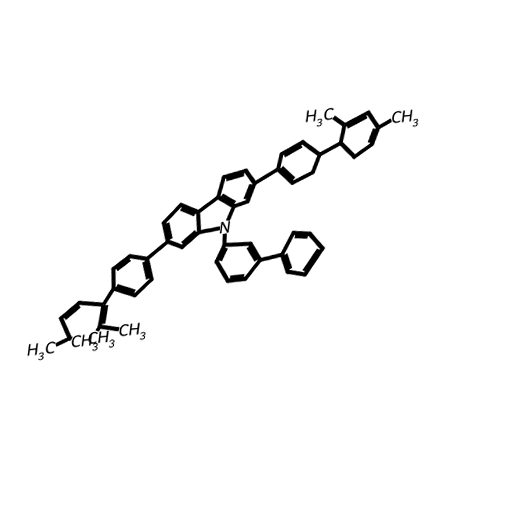 CC1=CCC(C2C=CC(c3ccc4c5ccc(-c6ccc(C(/C=C\C(C)C)=C(C)C)cc6)cc5n(-c5cccc(-c6ccccc6)c5)c4c3)=CC2)C(C)=C1